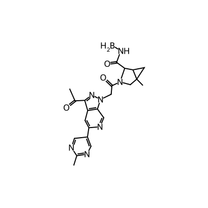 BNC(=O)C1C2CC2(C)CN1C(=O)Cn1nc(C(C)=O)c2cc(-c3cnc(C)nc3)ncc21